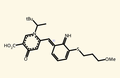 COCCCSC1=CC=C/C(=C\c2cc(=O)c(C(=O)O)cn2C(C)C(C)(C)C)C1=N